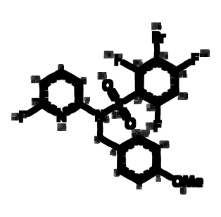 COc1ccc(CN(c2cccc(F)n2)S(=O)(=O)c2c(F)cc(F)c(Br)c2F)cc1